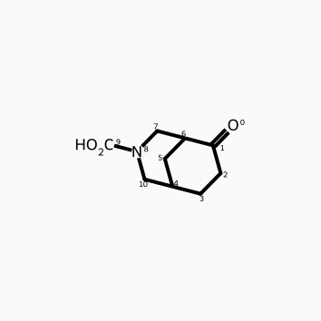 O=C1CCC2CC1CN(C(=O)O)C2